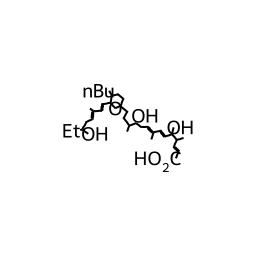 CCCCC1CCC(CCC(C)C(O)C/C=C(C)/C=C/C(O)C(C)/C=C/C(=O)O)OC1/C=C/C(C)=C/CC(O)CC